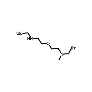 CC(C)CN(C)CCOCCNCC(C)(C)C